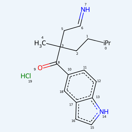 CC(C)CCC(C)(CC=N)C(=O)c1ccc2[nH]ccc2c1.Cl